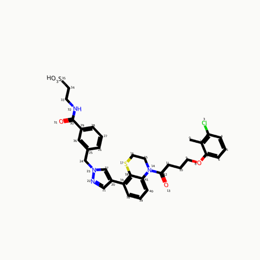 Cc1c(Cl)cccc1OCCCC(=O)N1CCSc2c(-c3cnn(Cc4cccc(C(=O)NCCS(=O)(=O)O)c4)c3)cccc21